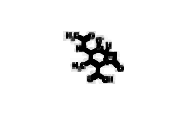 CC(=O)NC1C(C)=C(C(=O)O)N2C(=O)C[C@H]2[S+]1[O-]